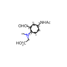 CC(=O)Nc1ccc(N(C)CC(=O)O)c(C=O)c1